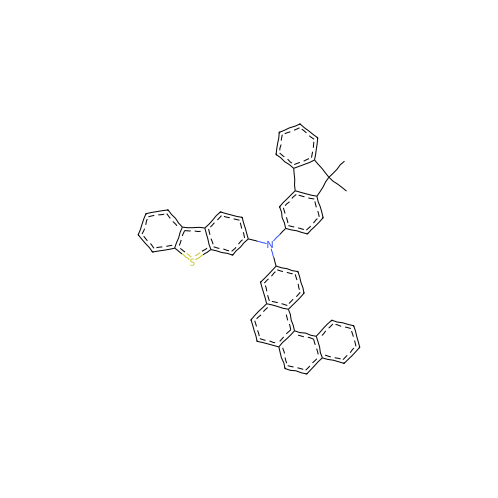 CC1(C)c2ccccc2-c2cc(N(c3ccc4c(ccc5ccc6ccccc6c54)c3)c3ccc4c(c3)sc3ccccc34)ccc21